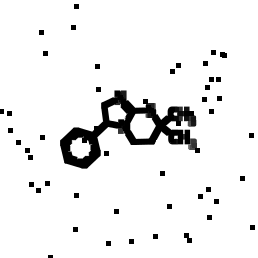 CC1(C)CCN2C(=NCC2c2ccccc2)S1